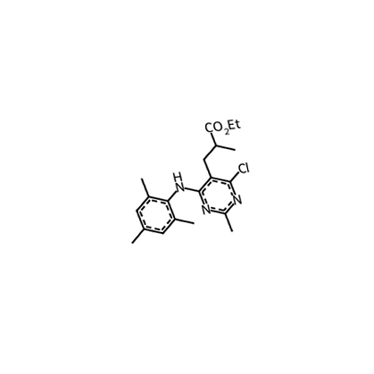 CCOC(=O)C(C)Cc1c(Cl)nc(C)nc1Nc1c(C)cc(C)cc1C